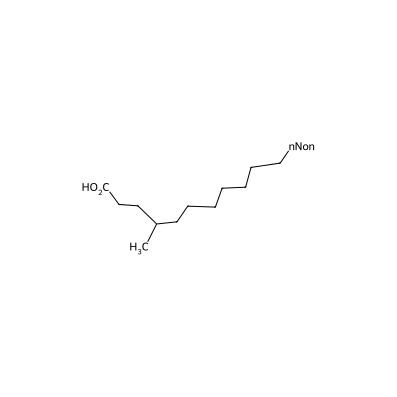 CCCCCCCCCCCCCCCCC(C)CCC(=O)O